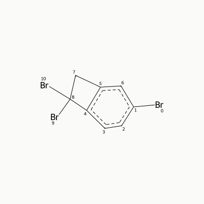 Brc1ccc2c(c1)CC2(Br)Br